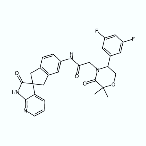 CC1(C)OCC(c2cc(F)cc(F)c2)N(CC(=O)Nc2ccc3c(c2)CC2(C3)C(=O)Nc3ncccc32)C1=O